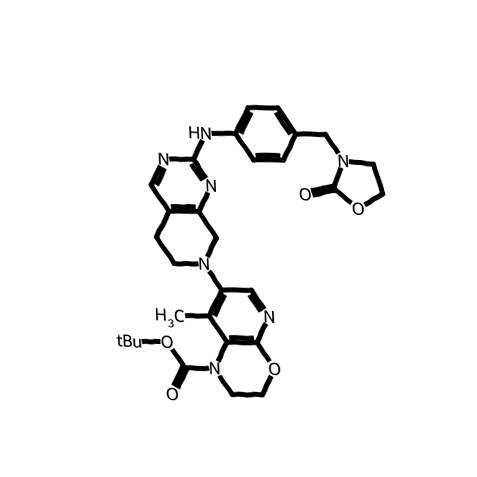 Cc1c(N2CCc3cnc(Nc4ccc(CN5CCOC5=O)cc4)nc3C2)cnc2c1N(C(=O)OC(C)(C)C)CCO2